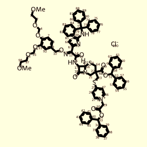 COCCOCOc1ccc(CON=C(C(=O)NC2C(=O)N3CC(CSc4cc[n+](CC(=O)OC(c5ccccc5)c5ccccc5)cc4)(C(=O)OC(c4ccccc4)c4ccccc4)CS[C@H]23)c2csc(NC(c3ccccc3)(c3ccccc3)c3ccccc3)n2)cc1OCOCCOC.[Cl-]